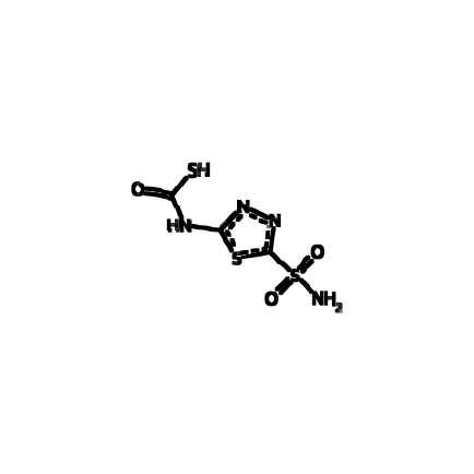 NS(=O)(=O)c1nnc(NC(=O)S)s1